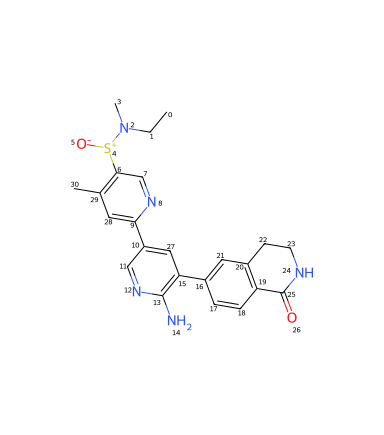 CCN(C)[S+]([O-])c1cnc(-c2cnc(N)c(-c3ccc4c(c3)CCNC4=O)c2)cc1C